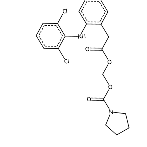 O=C(Cc1ccccc1Nc1c(Cl)cccc1Cl)OCOC(=O)N1CCCC1